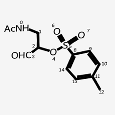 CC(=O)NCC(C=O)OS(=O)(=O)c1ccc(C)cc1